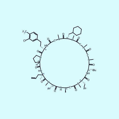 C=CC[C@@]1(C)NC(=O)[C@@H]2CCCN2C(=O)[C@H](CCc2ccc(C(F)(F)F)c(Cl)c2)NC(=O)CN(C)C(=O)[C@H](CC2CCCCC2)N(C)C(=O)CN(C)C(=O)CN(C)C(=O)[C@H](C(C)CC)NC(=O)[C@H](CC(C)C)N(C)C(=O)C[C@@H](C)NC(=O)[C@H](C(C)C)N(C)C1=O